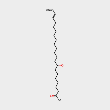 CCCCCCCCCC=CCCCCCCCCCCC(=O)CCCCCCC(=O)C(C)=O